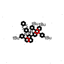 CC(C)(C)c1ccc(C(c2ccc(C(C)(C)C)cc2)c2ccc3c(c2)N(c2ccc(C(C)(C)C)cc2-c2ccccc2)B2c4cc5c(cc4N(c4ccc(C(C)(C)C)cc4-c4ccccc4)c4cc6ccccc6c-3c42)Sc2ccccc2S5)cc1